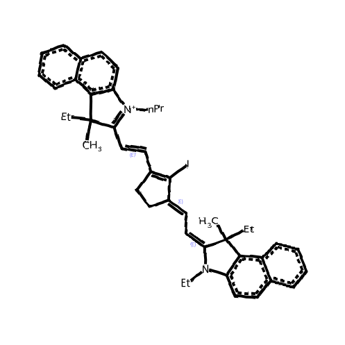 CCC[N+]1=C(/C=C/C2=C(I)C(=C/C=C3/N(CC)c4ccc5ccccc5c4C3(C)CC)/CC2)C(C)(CC)c2c1ccc1ccccc21